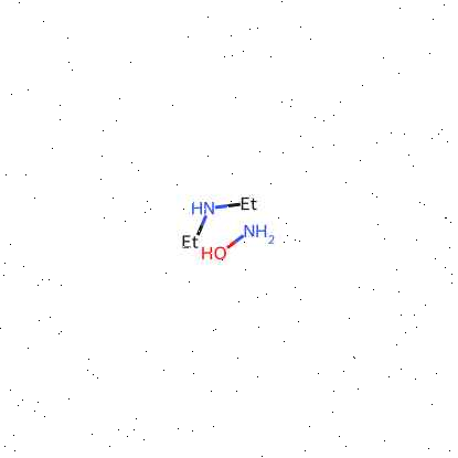 CCNCC.NO